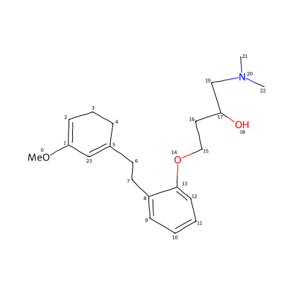 COC1=CCCC(CCc2ccccc2OCCC(O)CN(C)C)=C1